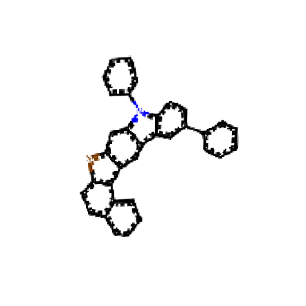 c1ccc(-c2ccc3c(c2)c2cc4c(cc2n3-c2ccccc2)sc2ccc3ccccc3c24)cc1